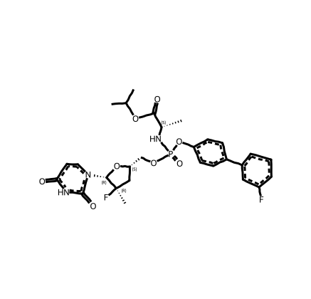 CC(C)OC(=O)[C@H](C)NP(=O)(OC[C@@H]1C[C@@](C)(F)[C@H](n2ccc(=O)[nH]c2=O)O1)Oc1ccc(-c2cccc(F)c2)cc1